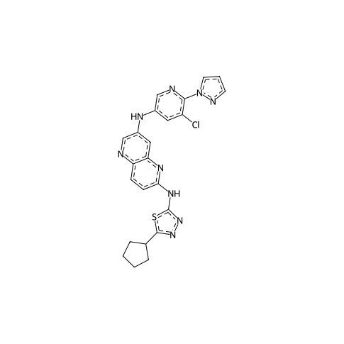 Clc1cc(Nc2cnc3ccc(Nc4nnc(C5CCCC5)s4)nc3c2)cnc1-n1cccn1